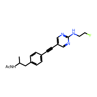 CC(=O)NC(C)Cc1ccc(C#Cc2cnc(NCCF)nc2)cc1